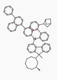 C[C@H]1CCCCCC(C2(C)c3ccccc3-c3c(N(c4ccc(-c5ccc(-c6ccccc6)c6ccccc56)cc4)c4ccccc4-c4ccccc4C4CC5CC4C5)cccc32)C1